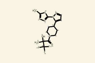 Cc1nnc(-n2nccc2C2CCN(C(=O)C(C)(O)C(F)(F)F)CC2)s1